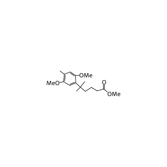 COC(=O)CCCC(C)(C)c1cc(OC)c(C)cc1OC